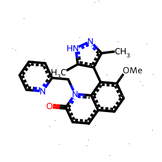 COc1ccc2ccc(=O)n(Cc3ccccn3)c2c1-c1c(C)n[nH]c1C